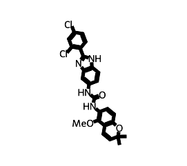 COc1c(NC(=O)Nc2ccc3[nH]c(-c4ccc(Cl)cc4Cl)nc3c2)ccc2c1C=CC(C)(C)O2